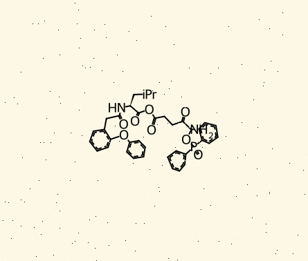 CC(C)C[C@H](NC(=O)Cc1ccccc1Oc1ccccc1)C(=O)OC(=O)CCC(=O)C(N)OP(=O)(c1ccccc1)c1ccccc1